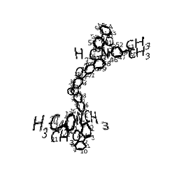 Cc1ccc2c(oc3ccccc32)c1N(c1ccc(C(C)C)cc1)c1ccc2cc3c(cc2c1)oc1cc2oc4cc5cc(N(c6ccc(C(C)C)cc6)c6c(C)ccc7c6oc6ccccc67)ccc5cc4c2cc13